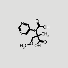 COCC(C)(C(=O)O)N(C(=O)O)c1cncnc1